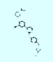 COC1CN(Cc2ccc(Nc3nccc(-c4ccc(O[C@@H]5CCN(C(=O)CO)C5)c(C#N)c4)n3)cn2)C1